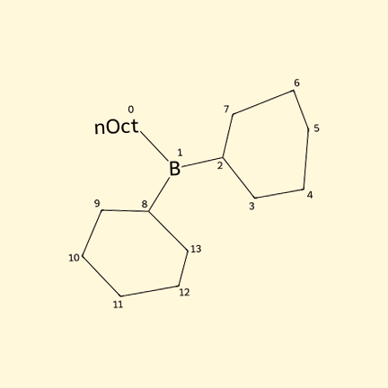 CCCCCCCCB(C1CCCCC1)C1CCCCC1